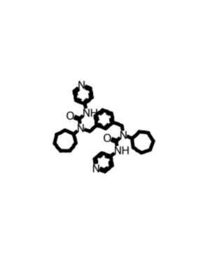 O=C(Nc1ccncc1)N(Cc1cccc(CN(C(=O)Nc2ccncc2)C2CCCCCC2)c1)C1CCCCCC1